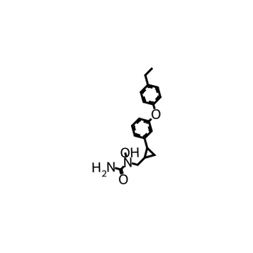 CCc1ccc(Oc2cccc(C3CC3CN(O)C(N)=O)c2)cc1